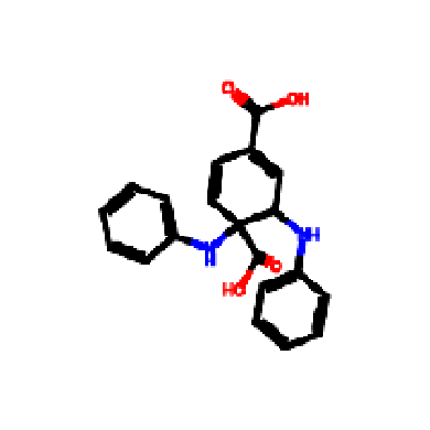 O=C(O)C1=CC(Nc2ccccc2)C(Nc2ccccc2)(C(=O)O)C=C1